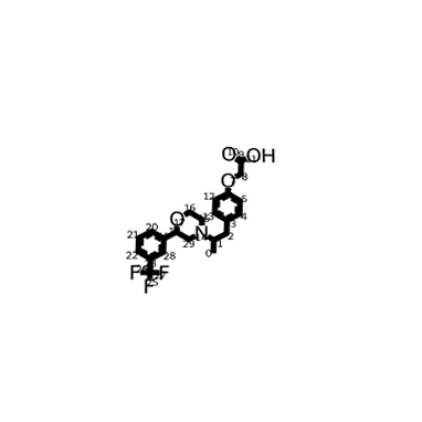 CC(Cc1ccc(OCC(=O)O)cc1)N1CCOC(c2cccc(C(F)(F)F)c2)C1